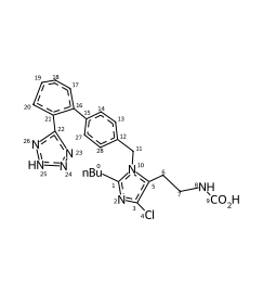 CCCCc1nc(Cl)c(CCNC(=O)O)n1Cc1ccc(-c2ccccc2-c2nn[nH]n2)cc1